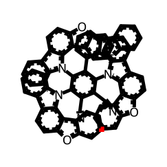 N#Cc1c(C#N)c(-n2c3ccccc3c3ccc4oc5ccccc5c4c32)c(-n2c3ccccc3c3ccc4oc5ccccc5c4c32)c(-c2cccc3c2sc2ccccc23)c1-n1c2ccccc2c2ccc3oc4ccccc4c3c21